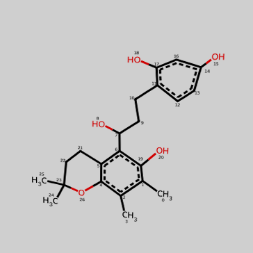 Cc1c(C)c2c(c(C(O)CCc3ccc(O)cc3O)c1O)CCC(C)(C)O2